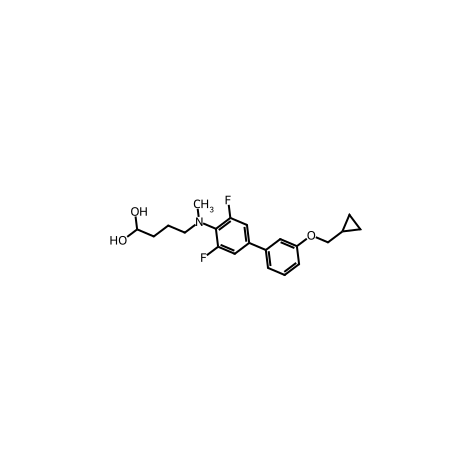 CN(CCCC(O)O)c1c(F)cc(-c2cccc(OCC3CC3)c2)cc1F